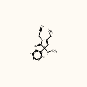 C#CCOC(=O)C(C=CCC)(OC)c1ccccc1